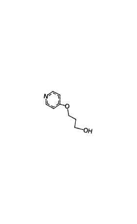 OCCCOc1ccncc1